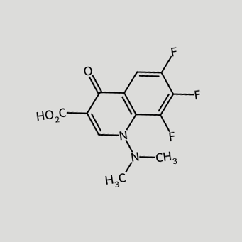 CN(C)n1cc(C(=O)O)c(=O)c2cc(F)c(F)c(F)c21